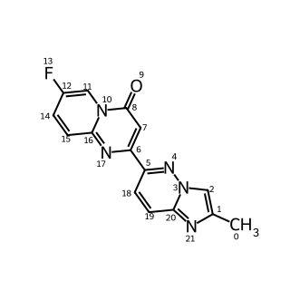 Cc1cn2nc(-c3cc(=O)n4cc(F)ccc4n3)ccc2n1